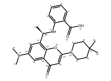 C[C@@H](Nc1ccccc1C(=O)O)c1cc(N(C)C)cc2c(=O)cc(N3CCC(C)(C)CC3)oc12